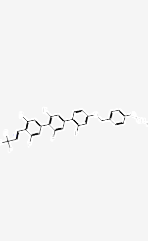 COc1ccc(COc2ccc(-c3cc(F)c(-c4cc(F)c(/C=C/C(F)(F)F)c(F)c4)c(F)c3)c(F)c2)cc1